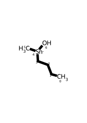 CCC[CH2][Sn]([CH3])[OH]